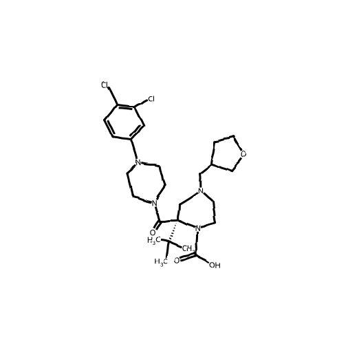 CC(C)(C)[C@]1(C(=O)N2CCN(c3ccc(Cl)c(Cl)c3)CC2)CN(CC2CCOC2)CCN1C(=O)O